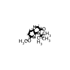 COc1ccc2ncc(=O)n(C(C)(C)C)c2n1